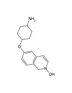 NC1CCC(Oc2ccc3c(c2)C=CN(O)C3)CC1